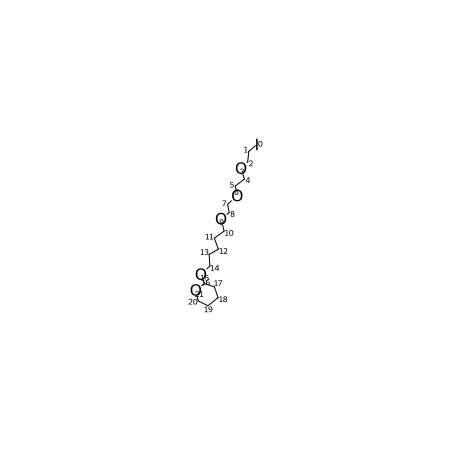 ICCOCCOCCOCCCCCOC1CCCCO1